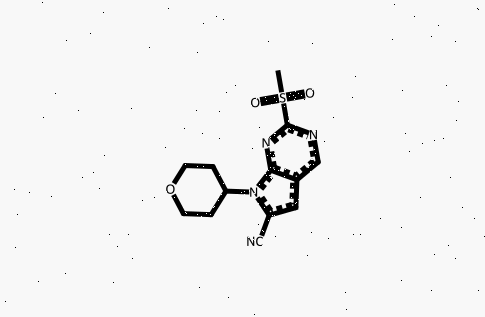 CS(=O)(=O)c1ncc2cc(C#N)n(C3CCOCC3)c2n1